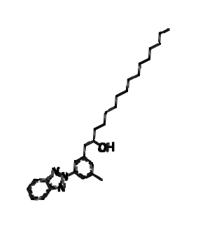 CCCCCCCCCCCCCCC(O)Cc1cc(C)cc(-n2nc3ccccc3n2)c1